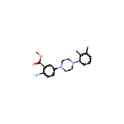 COC(=O)c1cc(N2CCN(c3cccc(C)c3C)CC2)ccc1N